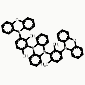 Cc1ccc(N2c3ccccc3Oc3ccccc32)c(C)c1B1c2ccccc2N(c2c(C)ccc(N3c4ccccc4Oc4ccccc43)c2C)c2ccccc21